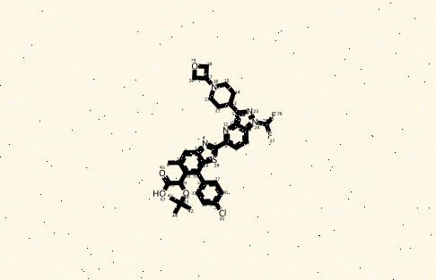 Cc1cc2nc(-c3ccc4c(n3)c(C3CCN(C5COC5)CC3)nn4C(F)F)sc2c(-c2ccc(Cl)cc2)c1C(OC(C)(C)C)C(=O)O